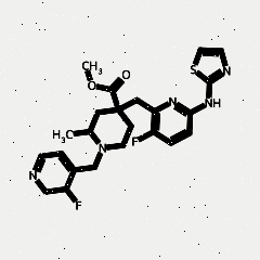 COC(=O)C1(Cc2nc(Nc3nccs3)ccc2F)CCN(CC2=CC=NCC2F)C(C)C1